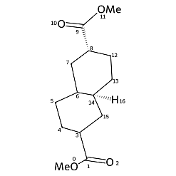 COC(=O)C1CCC2C[C@H](C(=O)OC)CC[C@H]2C1